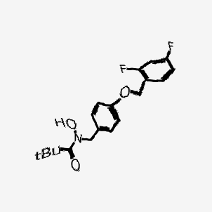 CC(C)(C)C(=O)N(O)Cc1ccc(OCc2ccc(F)cc2F)cc1